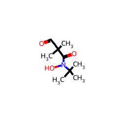 CC(C)(C=O)C(=O)N(O)C(C)(C)C